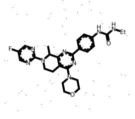 CCNC(=O)Nc1ccc(-c2nc3c(c(N4CCOCC4)n2)CCN(c2ncc(F)cn2)C3C)cc1